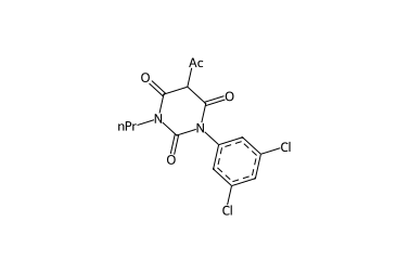 CCCN1C(=O)C(C(C)=O)C(=O)N(c2cc(Cl)cc(Cl)c2)C1=O